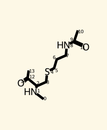 CNC(CSCCCNC(C)=O)C(C)=O